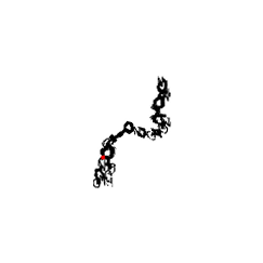 Cn1c2ccncc2c2ccc(-c3ccc(O[C@H]4C[C@H](OC5CCN(c6cccc(C#CC(C)(C)Oc7ccc8c(c7)CN(C7CCC(=O)NC7=O)C8=O)c6)CC5)C4)nc3)cc21